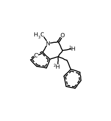 [2H]C1C(=O)N(C)c2ccccc2C1([2H])Cc1ccccc1